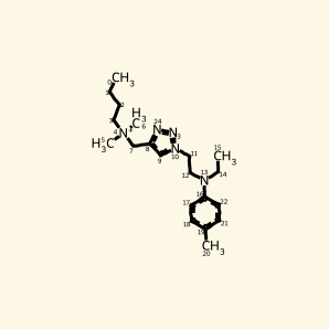 CCCC[N+](C)(C)Cc1cn(CCN(CC)c2ccc(C)cc2)nn1